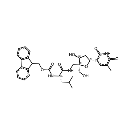 Cc1cn([C@H]2C[C@H](O)[C@](CO)(CNC(=O)[C@H](CC(C)C)NC(=O)OCC3c4ccccc4-c4ccccc43)O2)c(=O)[nH]c1=O